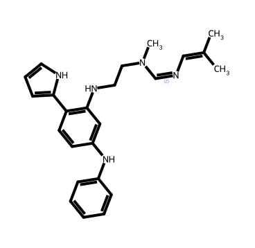 CC(C)=C/N=C\N(C)CCNc1cc(Nc2ccccc2)ccc1-c1ccc[nH]1